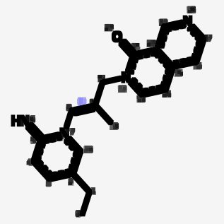 CCc1ccc(=N)n(/C=C(\C)Cn2ccc3ccncc3c2=O)c1